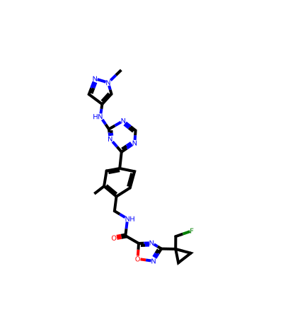 Cc1cc(-c2ncnc(Nc3cnn(C)c3)n2)ccc1CNC(=O)c1nc(C2(CF)CC2)no1